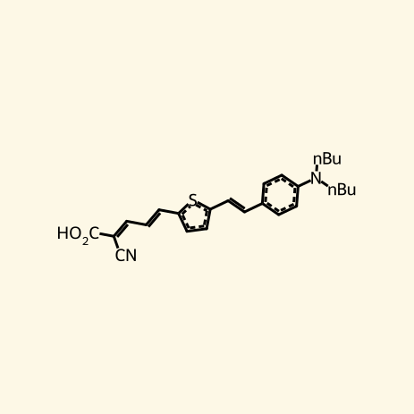 CCCCN(CCCC)c1ccc(/C=C/c2ccc(/C=C/C=C(\C#N)C(=O)O)s2)cc1